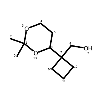 CC1(C)OCCC(C2(CO)CCC2)O1